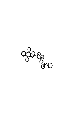 O=C(CC(=O)c1cc2c(o1)C(=O)c1ccccc1C2=O)OCC(=O)N1CCCCC1